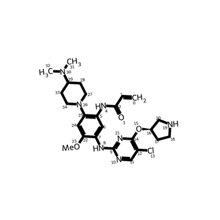 C=CC(=O)Nc1cc(Nc2ncc(Cl)c(O[C@@H]3CCNC3)n2)c(OC)cc1N1CCC(N(C)C)CC1